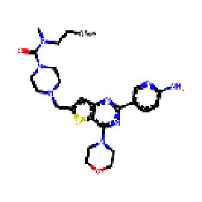 COCCN(C)C(=O)N1CCN(Cc2cc3nc(-c4ccc(N)nc4)nc(N4CCOCC4)c3s2)CC1